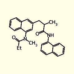 CCC(=O)N(C)c1cc(CC(C)C(=O)Nc2cccc3ccccc23)cc2ccccc12